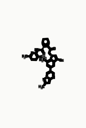 CC(=O)c1cn(CC(=O)C2C3CCC(C3)[C@H]2C(=O)Nc2nc(C(F)(F)F)ccc2C)c2c(C)cc(-c3cnc4cc(C)nn4c3)cc12